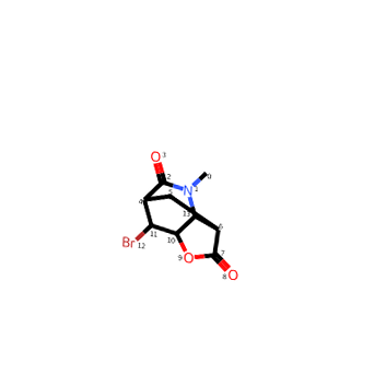 CN1C(=O)C2CC3C(=O)OC(C2Br)C31